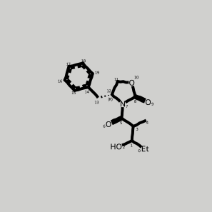 CCC(O)C(C)C(=O)N1C(=O)OC[C@H]1Cc1ccccc1